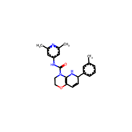 Cc1cc(NC(=O)N2CCOC3=C2NC(c2cccc(C(F)(F)F)c2)C=C3)cc(C)n1